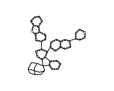 c1ccc2c(c1)-c1c(ccc(-c3ccc4c(c3)oc3ccccc34)c1-c1ccc3cc(-c4ccncc4)ccc3c1)C21C2CC3CC(C2)CC1C3